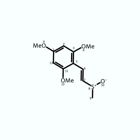 COc1cc(OC)c(C=C[S+](C)[O-])c(OC)c1